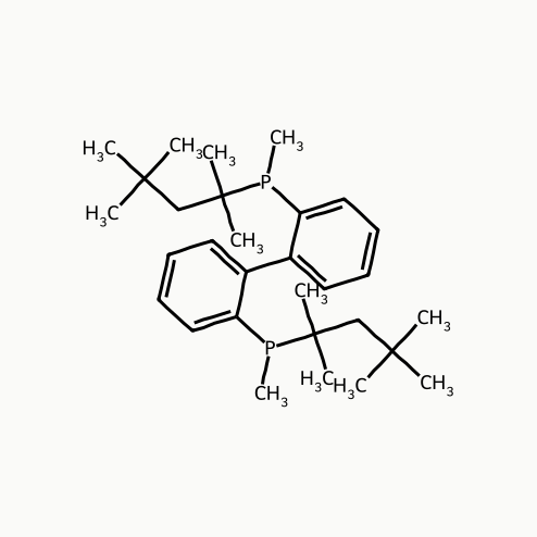 CP(c1ccccc1-c1ccccc1P(C)C(C)(C)CC(C)(C)C)C(C)(C)CC(C)(C)C